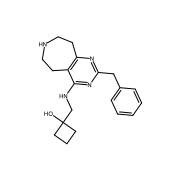 OC1(CNc2nc(Cc3ccccc3)nc3c2CCNCC3)CCC1